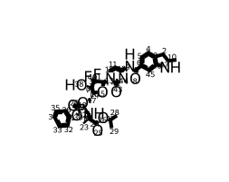 CC1Cc2ccc(C(=O)Nc3ccn(C4O[C@H](COP(=O)(N[C@H](C)C(=O)OC(C)C)Oc5ccccc5)[C@@H](O)C4(F)F)c(=O)n3)cc2N1